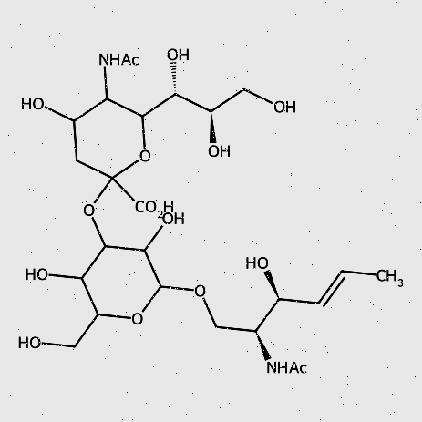 C/C=C/[C@H](O)[C@H](COC1OC(CO)C(O)C(OC2(C(=O)O)CC(O)C(NC(C)=O)C([C@H](O)[C@H](O)CO)O2)C1O)NC(C)=O